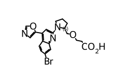 O=C(O)CCOC[C@@H]1CCCN1c1cc(-c2cnco2)c2ccc(Br)cc2n1